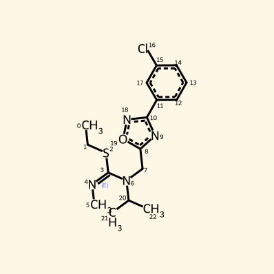 CCS/C(=N/C)N(Cc1nc(-c2cccc(Cl)c2)no1)C(C)C